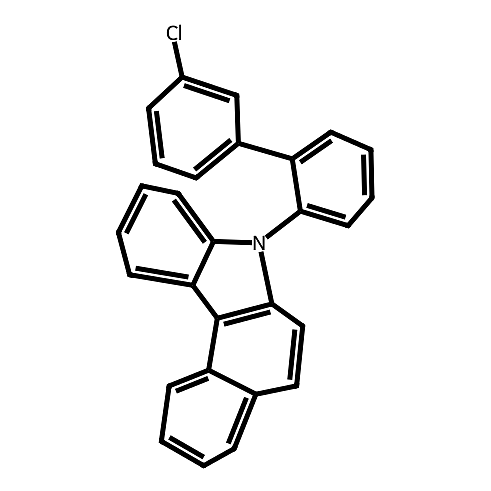 Clc1cccc(-c2ccccc2-n2c3ccccc3c3c4ccccc4ccc32)c1